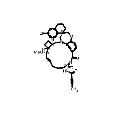 CC#CC(=O)N[S@@]1(=O)=NC(=O)c2ccc3c(c2)N(C[C@@H]2CC[C@H]2[C@@H](OC)/C=C/CCC1)C[C@@]1(CCCc2cc(Cl)ccc21)CO3